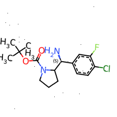 CC(C)(C)OC(=O)N1CCCC1[C@@H](N)c1ccc(Cl)c(F)c1